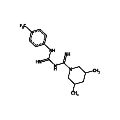 CC1CC(C)CN(C(=N)NC(=N)Nc2ccc(C(F)(F)F)cc2)C1